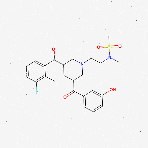 Cc1c(F)cccc1C(=O)C1CC(C(=O)c2cccc(O)c2)CN(CCN(C)S(C)(=O)=O)C1